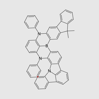 CC1(C)c2ccccc2-c2cc3c(cc21)B1c2ccc4c5cccc6c7ccccc7n(c4c2N(c2ccccc2)c2cccc(c21)N3c1ccccc1)c65